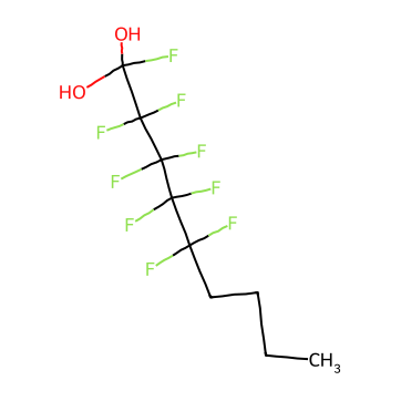 CCCCC(F)(F)C(F)(F)C(F)(F)C(F)(F)C(O)(O)F